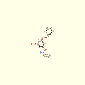 O=C(O)NOc1cc(O)cc(OCc2ccccc2)c1